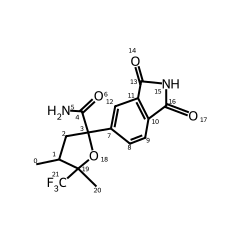 CC1CC(C(N)=O)(c2ccc3c(c2)C(=O)NC3=O)OC1(C)C(F)(F)F